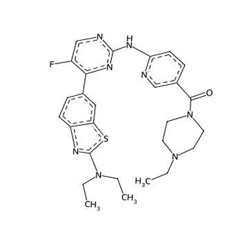 CCN1CCN(C(=O)c2ccc(Nc3ncc(F)c(-c4ccc5nc(N(CC)CC)sc5c4)n3)nc2)CC1